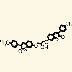 Cc1ccc(-c2cc3ccc(OCC(O)COc4ccc5cc(-c6ccc(C)cc6)c(=O)sc5c4)cc3sc2=O)cc1